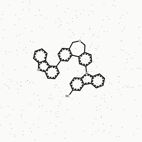 N#Cc1ccc2c(c1)c1ccccc1n2-c1ccc2c(c1)-c1cc(-c3cccc4oc5ccccc5c34)ccc1COC2